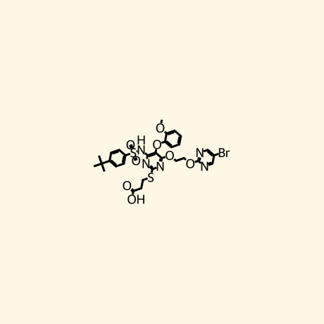 COc1ccccc1Oc1c(NS(=O)(=O)c2ccc(C(C)(C)C)cc2)nc(SCCC(=O)O)nc1OCCOc1ncc(Br)cn1